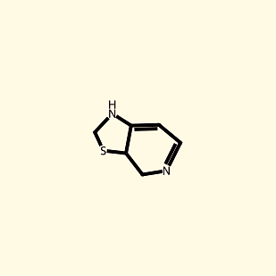 C1=NCC2SCNC2=C1